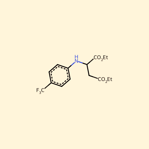 CCOC(=O)CC(Nc1ccc(C(F)(F)F)cc1)C(=O)OCC